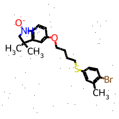 Cc1cc(SCCCCOc2ccc3c(c2)C(C)(C)C[NH+]3[O-])ccc1Br